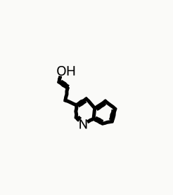 OC=CCc1cnc2ccccc2c1